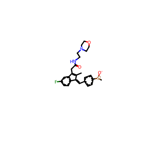 CC1=C(CC(=O)NCCN2CCOCC2)c2cc(F)ccc2C1=Cc1ccc([S+](C)[O-])cc1